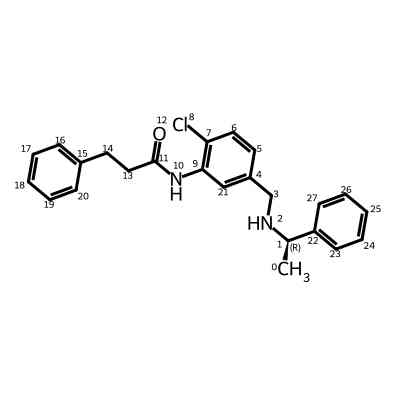 C[C@@H](NCc1ccc(Cl)c(NC(=O)CCc2ccccc2)c1)c1ccccc1